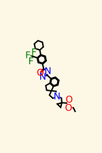 CCOC(=O)C1(CN2CCC3(CCc4c(-c5noc(-c6ccc(C7CCCCC7)c(C(F)(F)F)c6)n5)cccc43)C2)CC1